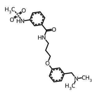 CN(C)Cc1cccc(OCCCNC(=O)c2cccc(NS(C)(=O)=O)c2)c1